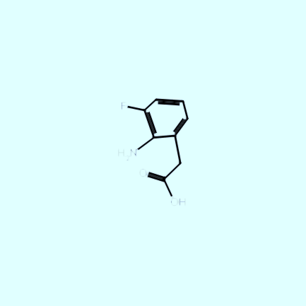 Nc1c(F)cccc1CC(=O)O